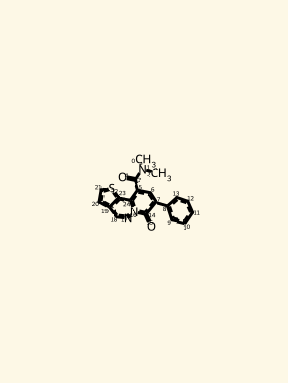 CN(C)C(=O)c1cc(-c2ccccc2)c(=O)n2ncc3ccsc3c12